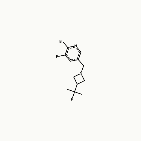 CC(C)(F)C1CN(Cc2cnc(Br)c(F)c2)C1